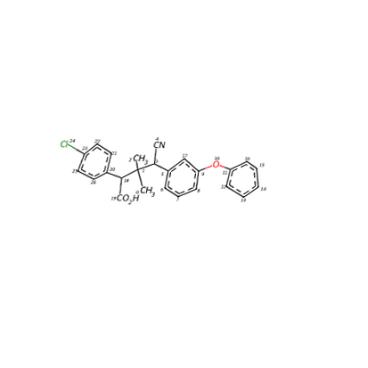 CC(C)(C(C#N)c1cccc(Oc2ccccc2)c1)C(C(=O)O)c1ccc(Cl)cc1